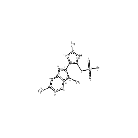 CCS(=O)(=O)Cc1[nH]c(C#N)nc1-c1nc2cc(C(F)(F)F)ncc2n1C